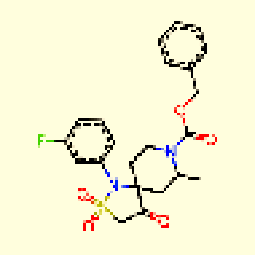 CC1CC2(CCN1C(=O)OCc1ccccc1)C(=O)CS(=O)(=O)N2c1cccc(F)c1